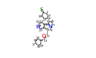 Fc1ccc(-c2ccn(CCCOCc3ccccc3)c2-c2ccncc2)cc1